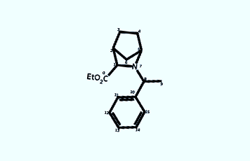 CCOC(=O)C1C2CCC(C2)N1C(C)c1ccccc1